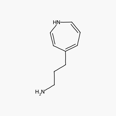 NCCCC1=CC=CNC=C1